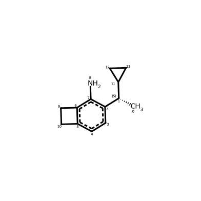 C[C@H](c1ccc2c(c1N)CC2)C1CC1